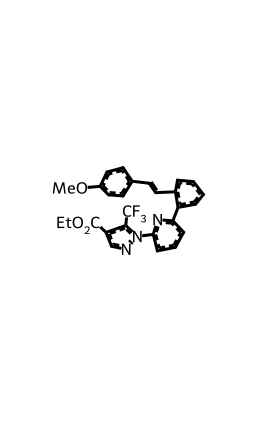 CCOC(=O)c1cnn(-c2cccc(-c3ccccc3/C=C/c3ccc(OC)cc3)n2)c1C(F)(F)F